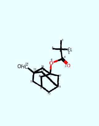 CCC(C)(C)C(=O)OC12CC3CC(CC(C=O)(C3)C1)C2